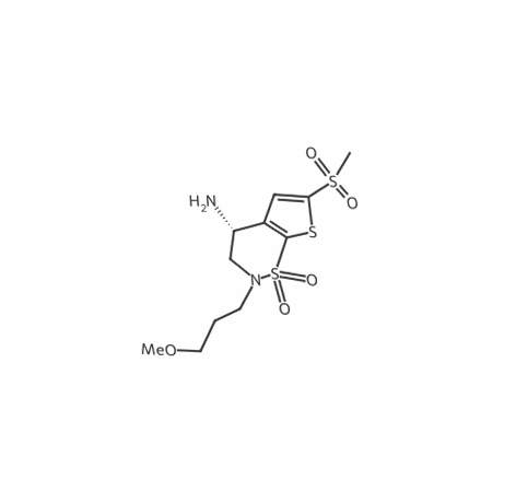 COCCCN1C[C@H](N)c2cc(S(C)(=O)=O)sc2S1(=O)=O